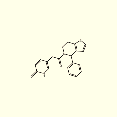 O=C(Cc1ccc(=O)[nH]c1)N1CCc2sccc2C1c1ccccc1